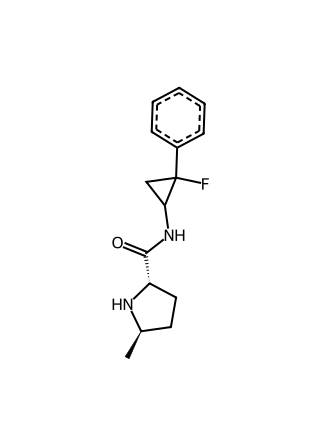 C[C@@H]1CC[C@@H](C(=O)NC2CC2(F)c2ccccc2)N1